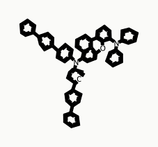 c1ccc(-c2ccc(-c3ccc(N(c4ccc(-c5ccc(-c6ccccc6)cc5)cc4)c4ccc5c6c(cccc46)-c4cccc(N(c6ccccc6)c6ccccc6)c4O5)cc3)cc2)cc1